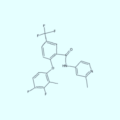 Cc1cc(NC(=O)c2cc(C(F)(F)F)ccc2Oc2ccc(F)c(F)c2C)ccn1